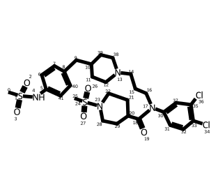 CS(=O)(=O)Nc1ccc(CC2CCN(CCCN(C(=O)C3CCN(S(C)(=O)=O)CC3)c3ccc(Cl)c(Cl)c3)CC2)cc1